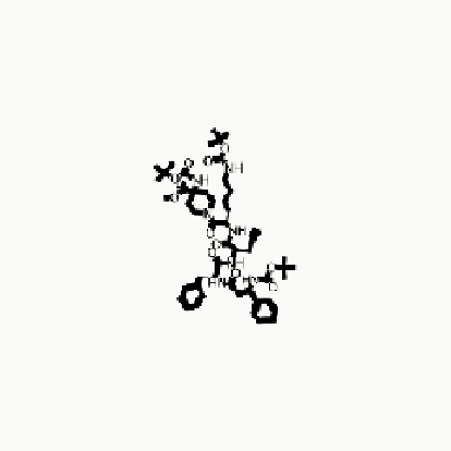 C#CC[C@@H](NC(=O)[C@@H](Cc1ccccc1)NC(=O)CC(NC(=O)OC(C)(C)C)c1ccccc1)C(=O)N[C@H](CCCCNC(=O)OC(C)(C)C)C(=O)N1CCC(NC(=O)OC(C)(C)C)(C(=O)OC)CC1